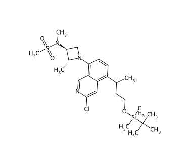 CC(CCO[Si](C)(C)C(C)(C)C)c1ccc(N2C[C@H](N(C)S(C)(=O)=O)[C@H]2C)c2cnc(Cl)cc12